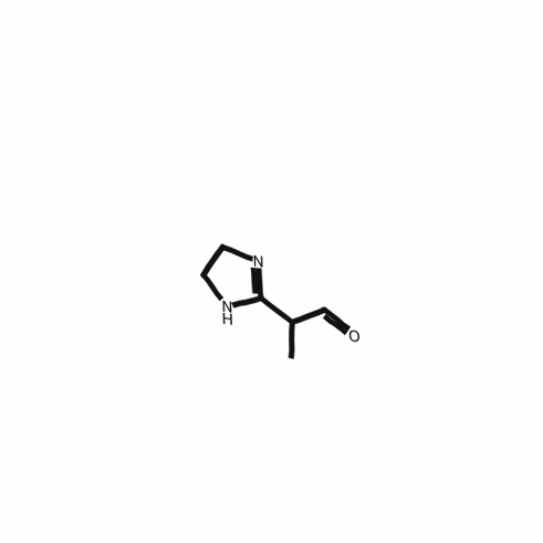 CC(C=O)C1=NCCN1